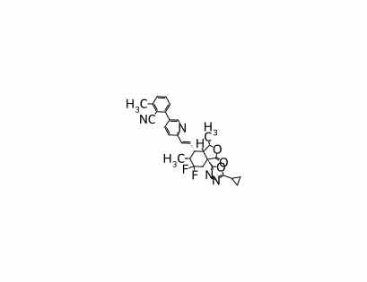 Cc1cccc(-c2ccc(C=C[C@@H]3[C@@H]4[C@@H](C)OC(=O)[C@]4(c4nnc(C5CC5)o4)CC(F)(F)[C@H]3C)nc2)c1C#N